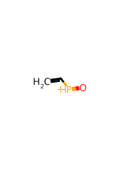 C=C[PH]=O